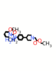 C=C1C=CC=C(OC)N1C(=O)N(N)c1ccc(C2CCN(CC(=O)OCC)CC2)cc1